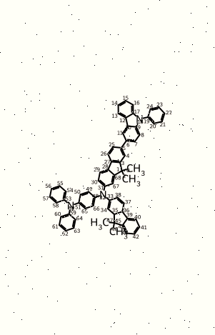 CC1(C)c2cc(-c3ccc4c(c3)c3ccccc3n4-c3ccccc3)ccc2-c2ccc(N(C3=CC4C(C=C3)c3ccccc3C4(C)C)c3ccc(N(c4ccccc4)c4ccccc4)cc3)cc21